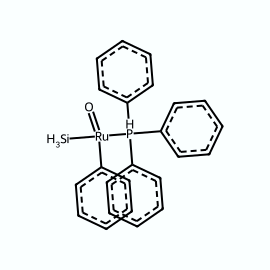 [O]=[Ru]([SiH3])([c]1ccccc1)[PH](c1ccccc1)(c1ccccc1)c1ccccc1